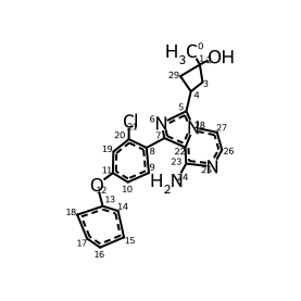 CC1(O)CC(c2nc(-c3ccc(Oc4ccccc4)cc3Cl)c3c(N)nccn23)C1